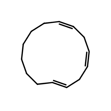 C1=C\C/C=C/CCCCCC/C=C\C/1